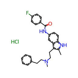 Cc1[nH]c2ccc(NC(=O)c3ccc(F)cc3)cc2c1CCN(C)CCc1ccccc1.Cl